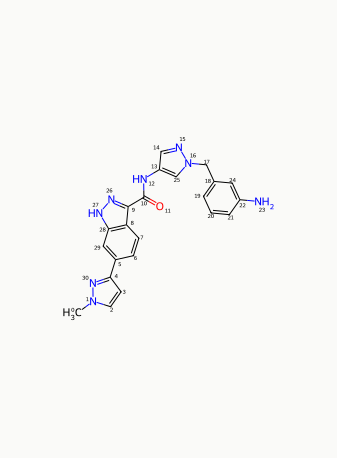 Cn1ccc(-c2ccc3c(C(=O)Nc4cnn(Cc5cccc(N)c5)c4)n[nH]c3c2)n1